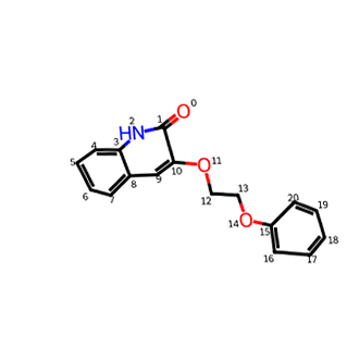 O=c1[nH]c2ccccc2cc1OCCOc1ccccc1